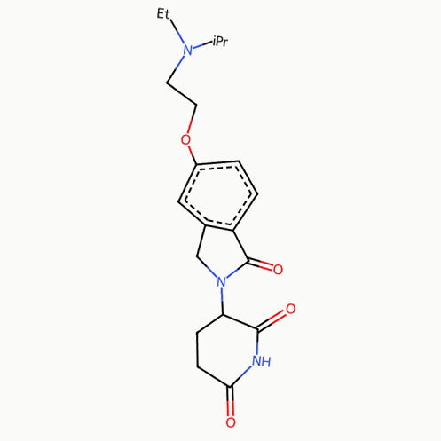 CCN(CCOc1ccc2c(c1)CN(C1CCC(=O)NC1=O)C2=O)C(C)C